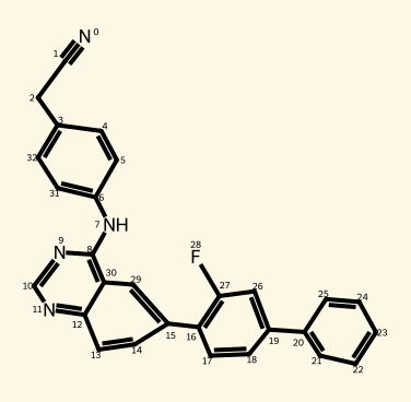 N#CCc1ccc(Nc2ncnc3ccc(-c4ccc(-c5ccccc5)cc4F)cc23)cc1